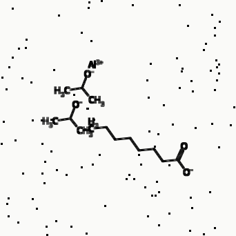 CC(C)[O-].CC(C)[O-].CCCCCCCC(=O)[O-].[Al+3]